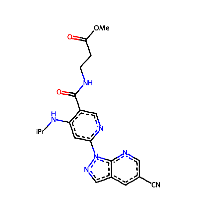 COC(=O)CCNC(=O)c1cnc(-n2ncc3cc(C#N)cnc32)cc1NC(C)C